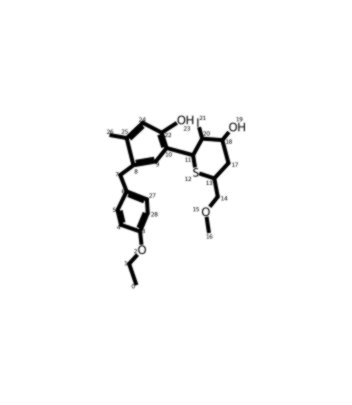 CCOc1ccc(Cc2cc(C3SC(COC)CC(O)C3I)c(O)cc2C)cc1